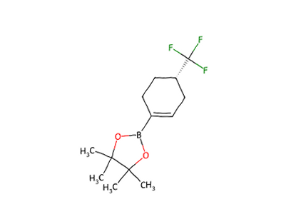 CC1(C)OB(C2=CC[C@@H](C(F)(F)F)CC2)OC1(C)C